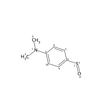 CN(C)c1ccc([S+]=O)cc1